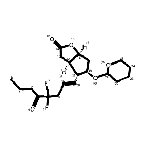 CCCC(=O)C(F)(F)CC=C[C@@H]1[C@H]2CC(=O)O[C@H]2C[C@H]1OC1CCCCO1